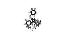 NCC1(c2nn(Cc3ccccc3)c3ccccc23)N=CON1